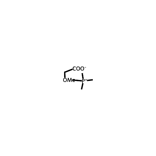 COCC(=O)[O-].C[P+](C)(C)C